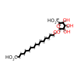 O=C(O)CCCCCCCCCCCCCCCOO[C@@H]1O[C@H](C(=O)O)[C@@H](O)[C@H](O)[C@H]1O